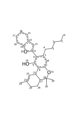 CCCCCc1cc2c(c(O)c1-c1cc3ccccc3o1)C1C=C(C)CCC1C(C)(C)O2